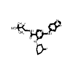 CC(C)(O)C(F)CNC(=O)c1cnc(Nc2ccc3ncsc3c2)cc1N[C@H]1CCCC(F)C1